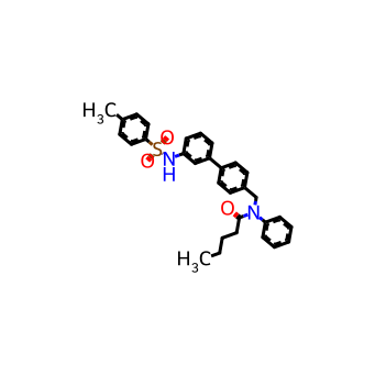 CCCCC(=O)N(Cc1ccc(-c2cccc(NS(=O)(=O)c3ccc(C)cc3)c2)cc1)c1ccccc1